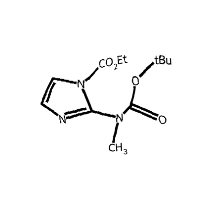 CCOC(=O)n1ccnc1N(C)C(=O)OC(C)(C)C